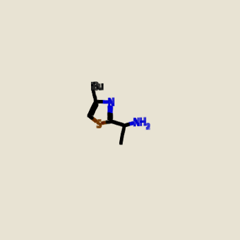 CCC(C)c1csc(C(C)N)n1